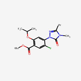 CC(C)c1nn(-c2cc(OC(C)C(F)(F)F)c(C(=O)OC(C)(C)C)cc2F)c(=O)n1C